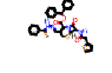 O=C(Cc1cccs1)NC1C(=O)N2C(C(=O)OC(c3ccccc3)c3ccccc3)=C(C=NNC(=S)c3ccccc3)CS[C@@H]12